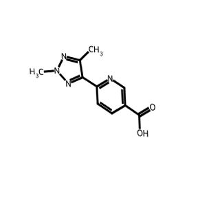 Cc1nn(C)nc1-c1ccc(C(=O)O)cn1